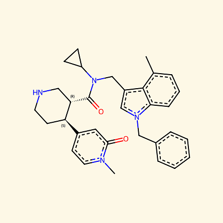 Cc1cccc2c1c(CN(C(=O)[C@H]1CNCC[C@@H]1c1ccn(C)c(=O)c1)C1CC1)cn2Cc1ccccc1